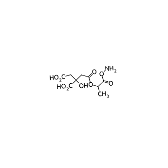 CC(OC(=O)CC(O)(CC(=O)O)C(=O)O)C(=O)ON